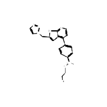 NCCN[S@+]([O-])c1ccc(-c2ccnc3[nH]c(Cn4ccnn4)cc23)cc1